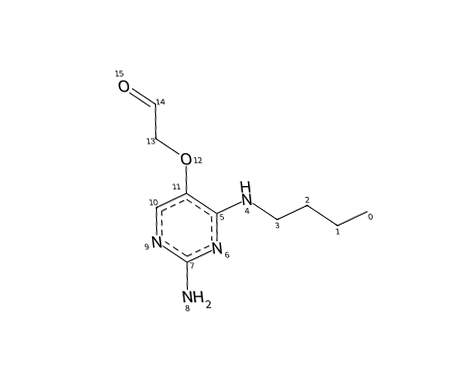 CCCCNc1nc(N)ncc1OCC=O